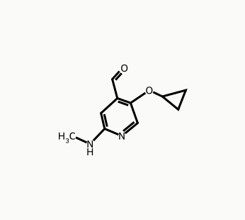 CNc1cc(C=O)c(OC2CC2)cn1